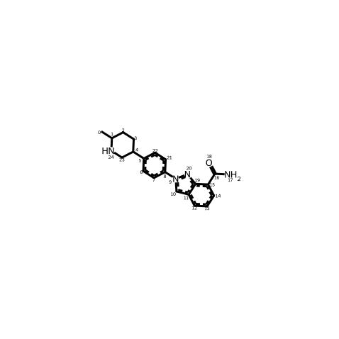 CC1CCC(c2ccc(-n3cc4cccc(C(N)=O)c4n3)cc2)CN1